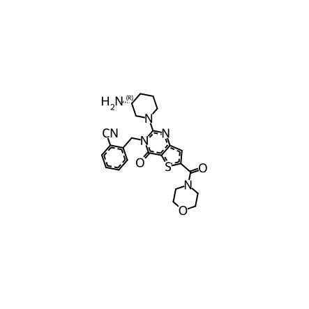 N#Cc1ccccc1Cn1c(N2CCC[C@@H](N)C2)nc2cc(C(=O)N3CCOCC3)sc2c1=O